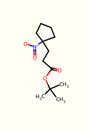 CC(C)(C)OC(=O)CCC1([N+](=O)[O-])CCCC1